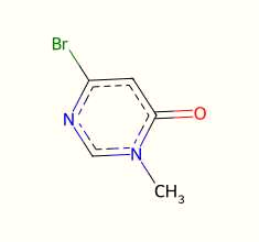 Cn1cnc(Br)cc1=O